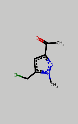 CC(=O)c1cc(CCl)n(C)n1